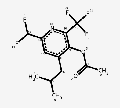 CC(=O)Oc1c(CC(C)C)cc(C(F)F)nc1C(F)(F)F